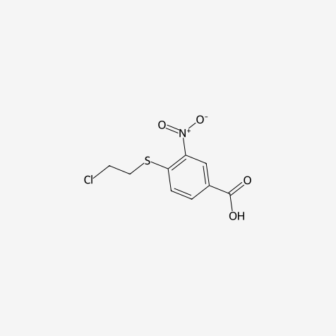 O=C(O)c1ccc(SCCCl)c([N+](=O)[O-])c1